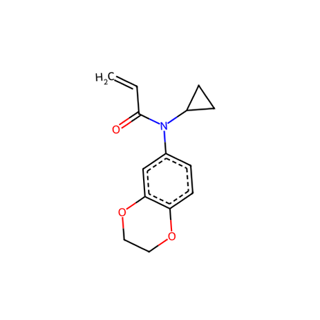 C=CC(=O)N(c1ccc2c(c1)OCCO2)C1CC1